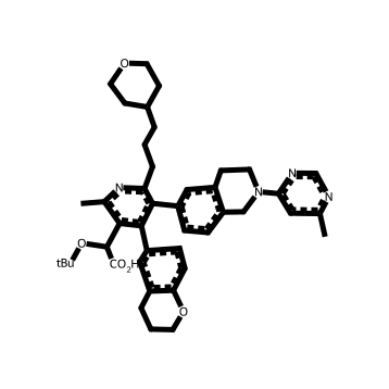 Cc1cc(N2CCc3cc(-c4c(CCCC5CCOCC5)nc(C)c(C(OC(C)(C)C)C(=O)O)c4-c4ccc5c(c4)CCCO5)ccc3C2)ncn1